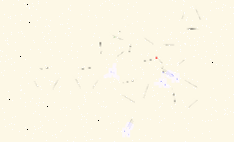 Cc1ccccc1-c1ccc2c(c1)c1ccccc1n2-c1cc(C#N)cc(-n2c3ccccc3c3cc(-c4ccccc4C)ccc32)c1-c1cc(C(F)(F)F)ccc1C#N